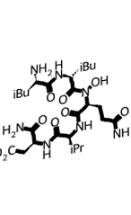 CC[C@H](C)[C@H](N)C(=O)N[C@H](C(=O)N(O)[C@@H](CCC(N)=O)C(=O)N[C@H](C(=O)N[C@@H](CC(=O)O)C(N)=O)C(C)C)[C@@H](C)CC